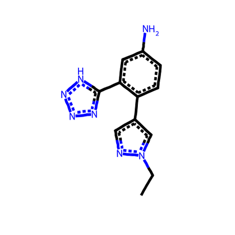 CCn1cc(-c2ccc(N)cc2-c2nnn[nH]2)cn1